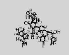 Cn1cnc([C@H](O)C#Cc2ccc(-c3ccc(Cl)c4c(NS(C)(=O)=O)nn(C)c34)c([C@H](Cc3cc(F)cc(F)c3)NC(=O)Cn3nc(C(F)(F)F)c4c3C(F)(F)[C@@H]3C[C@H]43)n2)c1